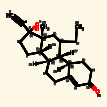 C#C[C@@]1(O)CC[C@H]2[C@@H]3CCC4=CC(=O)CC[C@@H]4[C@H]3C(CC)C[C@@]21C